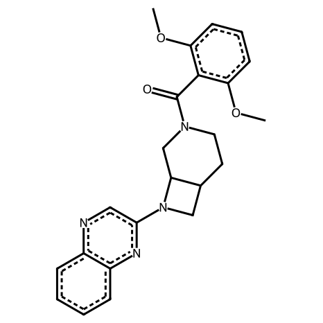 COc1cccc(OC)c1C(=O)N1CCC2CN(c3cnc4ccccc4n3)C2C1